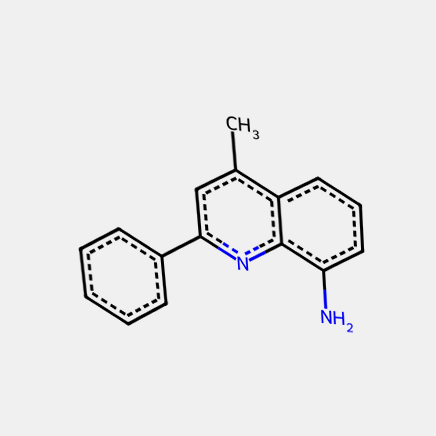 Cc1cc(-c2ccccc2)nc2c(N)cccc12